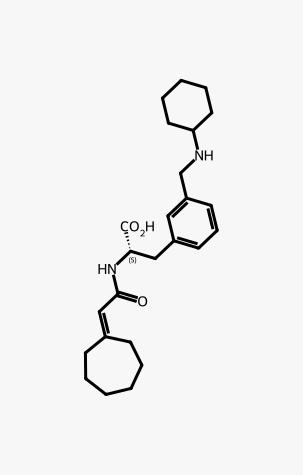 O=C(C=C1CCCCCC1)N[C@@H](Cc1cccc(CNC2CCCCC2)c1)C(=O)O